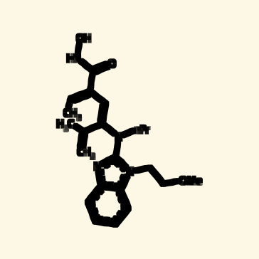 C=C(C)/C(=C\C(=C/C)C(=O)NO)N(CCC)c1nc2ccccc2n1CCOC